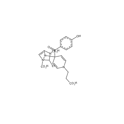 CCC1N(C(=O)O)C2=C[N+]1(C(=O)O)N2C1(C(=O)c2ccc(O)cc2)C=CN(CCC(=O)O)C=C1